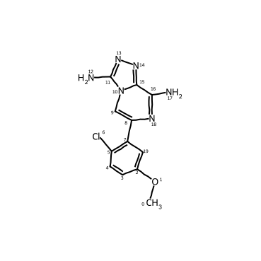 COc1ccc(Cl)c(-c2cn3c(N)nnc3c(N)n2)c1